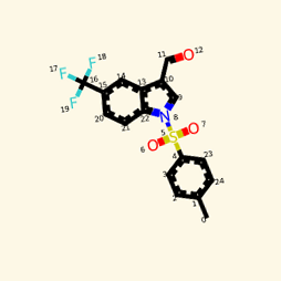 Cc1ccc(S(=O)(=O)n2cc(C=O)c3cc(C(F)(F)F)ccc32)cc1